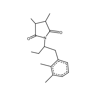 CCC(Cc1cccc(C)c1C)N1C(=O)C(C)C(C)C1=O